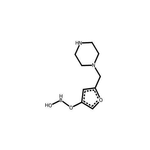 OBOc1coc(CN2CCNCC2)c1